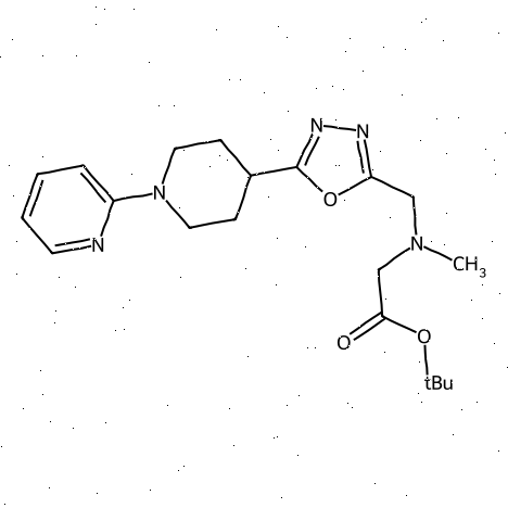 CN(CC(=O)OC(C)(C)C)Cc1nnc(C2CCN(c3ccccn3)CC2)o1